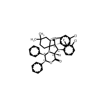 CC1(C)CCC2(CC1)N1[C@H](c3ccccc3)[C@H](c3ccccc3)OC(=O)[C@H]1[C@H](c1cccc(Cl)c1F)[C@]21C(=O)Nc2cc(Cl)ccc21